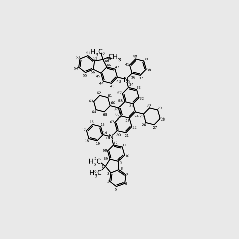 CC1(C)c2ccccc2-c2ccc(N(c3ccccc3)c3ccc4c(C5CCCCC5)c5ccc(N(c6ccccc6)c6ccc7c(c6)C(C)(C)c6ccccc6-7)cc5c(C5CCCCC5)c4c3)cc21